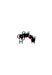 O=C1CCC(N2Cc3cc(C4CCN(Cc5ccncc5F)CC4)c(F)cc3C2=O)C(=O)N1